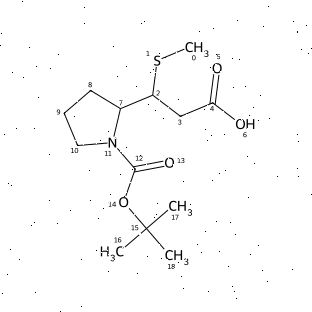 CSC(CC(=O)O)C1CCCN1C(=O)OC(C)(C)C